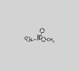 Cc1ccc2c(c1)c(-c1ccccc1)nn2CCCN1CCOCC1